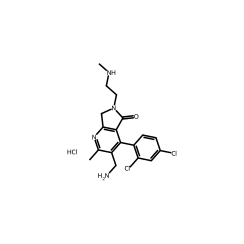 CNCCN1Cc2nc(C)c(CN)c(-c3ccc(Cl)cc3Cl)c2C1=O.Cl